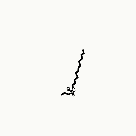 CCCCCCCCCCCCCOS(=O)(=S)CCC